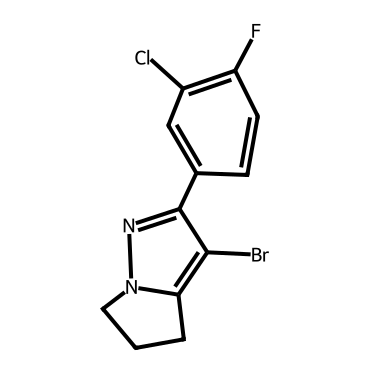 Fc1ccc(-c2nn3c(c2Br)CCC3)cc1Cl